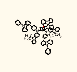 CC1(C)c2ccccc2-c2ccc(N(c3ccc(-c4cccc5c4c4ccccc4n5-c4ccccc4)cc3)c3cc(-c4cccc5c4C4(c6ccccc6-c6ccccc64)c4ccccc4-5)cc(N(c4ccc(-c5cccc6c5c5ccccc5n6-c5ccccc5)cc4)c4ccc5c(c4)C(C)(C)c4ccccc4-5)c3)cc21